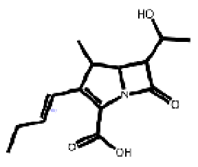 CC/C=C/C1=C(C(=O)O)N2C(=O)C(C(C)O)C2C1C